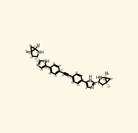 C[C@]12C[C@@H](c3ncc(-c4ccc(C#Cc5ccc(-c6cnc([C@@H]7C[C@]8(C)C[C@@H]8N7)[nH]6)cc5)cc4)[nH]3)N[C@H]1C2